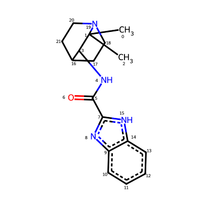 CC1(C)C(NC(=O)c2nc3ccccc3[nH]2)C2CCN1CC2